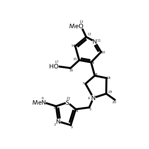 CNc1ncc(CN2CC(c3cnc(OC)cc3CO)CC2C)s1